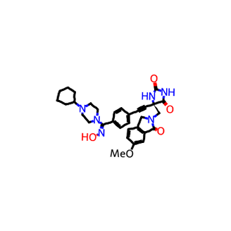 COc1ccc2c(c1)C(=O)N(C[C@@]1(C#Cc3ccc(C(=NO)N4CCN(C5CCCCC5)CC4)cc3)NC(=O)NC1=O)C2